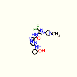 CN1CCC(n2cc(NC(=O)c3cnn4ccc(N[C@@H]5CCCC[C@@H]5O)nc34)c(C(F)F)n2)CC1